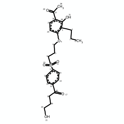 CCCc1c(OCCCS(=O)(=O)c2ccc(C(=O)CCCO)cc2)ccc(C(C)=O)c1O